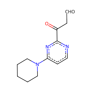 O=CCC(=O)c1nccc(N2CCCCC2)n1